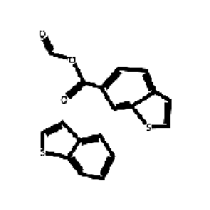 O=COC(=O)c1ccc2ccsc2c1.c1ccc2sccc2c1